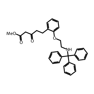 COC(=O)CC(=O)CCc1ccccc1OCCNC(c1ccccc1)(c1ccccc1)c1ccccc1